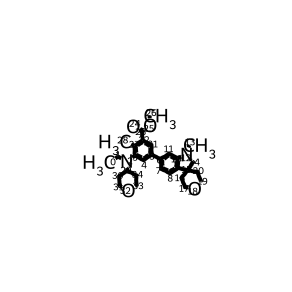 CCN(c1cc(-c2ccc3c(c2)N(C)CC32CCOCC2)cc(C(=O)OC)c1C)C1CCOCC1